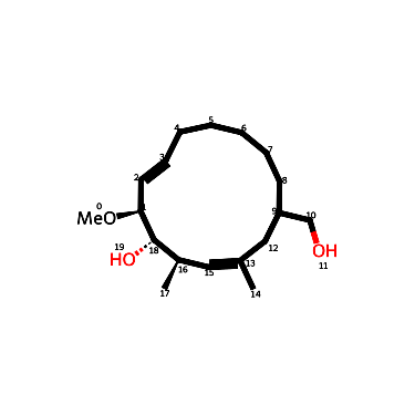 CO[C@H]1/C=C/CCCCCC(CO)C/C(C)=C\[C@@H](C)[C@@H]1O